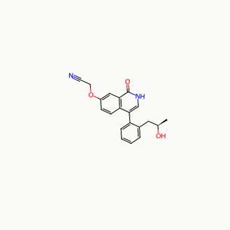 C[C@@H](O)Cc1ccccc1-c1c[nH]c(=O)c2cc(OCC#N)ccc12